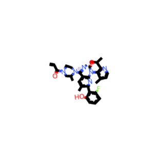 C=CC(=O)N1CCN(/C(=N/C)c2cc(C)c(-c3c(O)cccc3F)nc2N(C=O)c2c(C)ccnc2C(C)C)C(C)C1